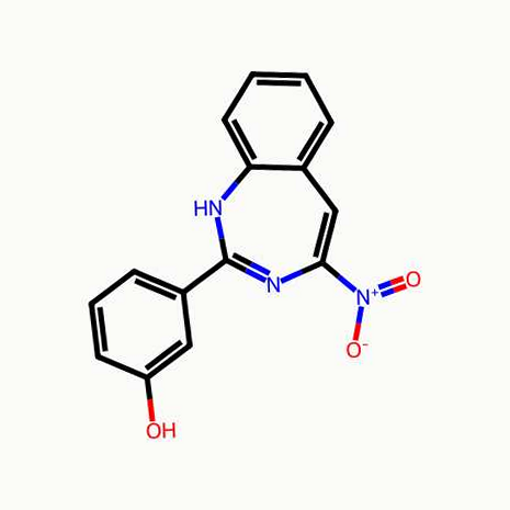 O=[N+]([O-])C1=Cc2ccccc2NC(c2cccc(O)c2)=N1